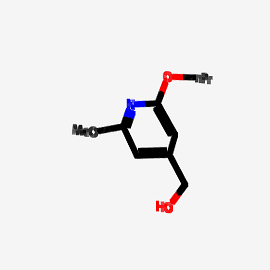 CCCOc1cc(CO)cc(OC)n1